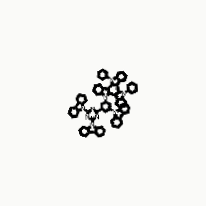 c1ccc(-n2c3ccccc3c3c2c2c4ccccc4n(-c4cc(-c5nc(-n6c7ccccc7c7ccccc76)nc(-n6c7ccccc7c7ccccc76)n5)cc(-n5c6ccccc6c6ccccc65)c4)c2c2c4ccccc4n(-c4ccccc4)c32)cc1